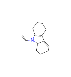 C=CN1C2=C(CCCC2)C2=CCCCC21